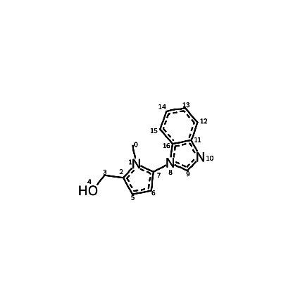 Cn1c(CO)ccc1-n1cnc2ccccc21